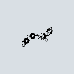 Cc1cc(Oc2ccc(CSc3nc(=O)c(CN4CCN(C)CC4)c[nH]3)cc2)ccc1Cl